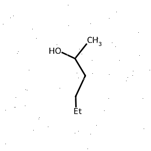 CCCCC(C)O